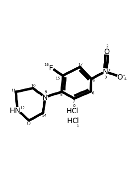 Cl.Cl.O=[N+]([O-])c1ccc(N2CCNCC2)c(F)c1